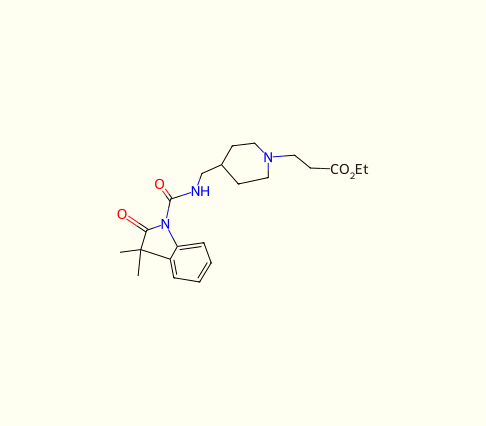 CCOC(=O)CCN1CCC(CNC(=O)N2C(=O)C(C)(C)c3ccccc32)CC1